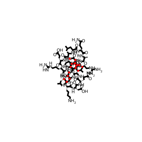 CC[C@H](C)[C@H](NC(=O)[C@H](CCCNC(=N)N)NC(=O)[C@H](C)NC(=O)[C@H](CCC(N)=O)NC(=O)[C@@H](N)CC(C)C)C(=O)N[C@@H](CC(C)C)C(=O)N[C@@H](C)C(=O)N[C@H](C(=O)N[C@@H](CCC(=O)O)C(=O)N[C@@H](CCCNC(=N)N)C(=O)N[C@@H](Cc1ccc(O)cc1)C(=O)N[C@@H](CC(C)C)C(=O)N[C@@H](CCCCN)C(=O)N[C@@H](CC(=O)O)C(=O)N[C@@H](CCC(N)=O)C(=O)N[C@@H](CCC(N)=O)C(=O)N[C@@H](CC(C)C)C(=O)O)C(C)C